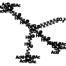 CC(=O)N[C@H]1[C@H](OCCCCC(=O)NCCCNC(=O)CCO[C@H]2[C@H](OCCC(=O)NCCCNC(=O)CCCCO[C@@H]3O[C@H](COC(C)=O)[C@H](OC(C)=O)[C@H](OC(C)=O)[C@H]3NC(C)=O)[C@@H](COCCCCCCCCCCCC(=O)O)OC[C@@H]2OCCC(=O)NCCCNC(=O)CCCCO[C@@H]2O[C@H](COC(C)=O)[C@H](OC(C)=O)[C@H](OC(C)=O)[C@H]2NC(C)=O)O[C@H](COC(C)=O)[C@H](OC(C)=O)[C@@H]1OC(C)=O